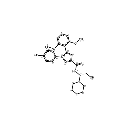 COc1cccc(OC)c1-c1cc(C(=O)N[C@H](CO)C2CCCCC2)nn1-c1ccc(F)cc1